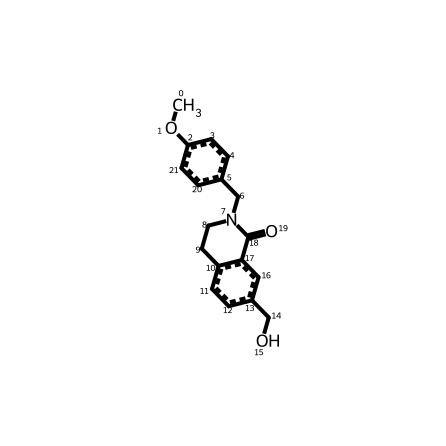 COc1ccc(CN2CCc3ccc(CO)cc3C2=O)cc1